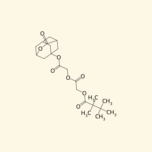 CC(C)(C)C(C)(C)C(=O)OCC(=O)OCC(=O)OC12CC3CC(C1)OC(=O)C(C3)C2